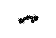 O=C1C2CCCN2C(=O)CN1c1ccc(-c2cnc(-c3ccc(N4C(=O)C5CCCN5C(=O)C4c4ccccc4)cc3)o2)cc1